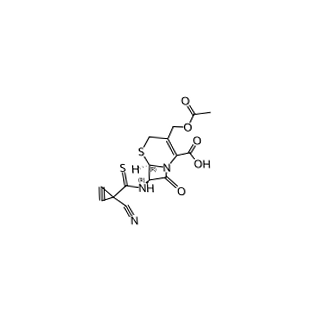 CC(=O)OCC1=C(C(=O)O)N2C(=O)[C@@H](NC(=S)C3(C#N)C#C3)[C@H]2SC1